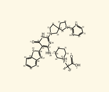 O=C(O)C(F)(F)F.O=c1[nH]c(N2CCC3(CCN(c4ncccn4)C3)C2)nc(N[C@@H]2CCCNC2)c1-c1nc2ccccc2s1